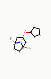 C1CCC(O[C@@H]2C[C@H]3CC[C@@H](C2)N3)C1